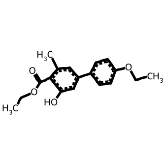 CCOC(=O)c1c(C)cc(-c2ccc(OCC)cc2)cc1O